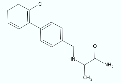 CC(NCc1ccc(C2=C(Cl)CCC=C2)cc1)C(N)=O